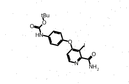 CC(C)(C)OC(=O)Nc1ccc(Oc2ccnc(C(N)=O)c2I)cc1